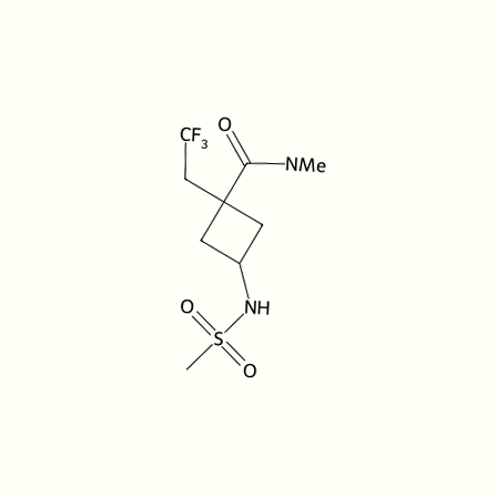 CNC(=O)C1(CC(F)(F)F)CC(NS(C)(=O)=O)C1